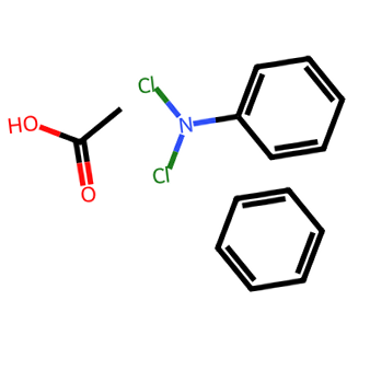 CC(=O)O.ClN(Cl)c1ccccc1.c1ccccc1